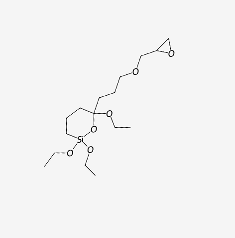 CCOC1(CCCOCC2CO2)CCC[Si](OCC)(OCC)O1